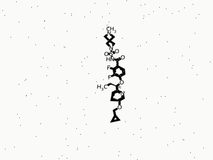 CC[C@@H](Oc1ccc(C(=O)NS(=O)(=O)N2CC3(CN(C)C3)C2)c(F)c1F)c1ccc(OCC2CC2)cn1